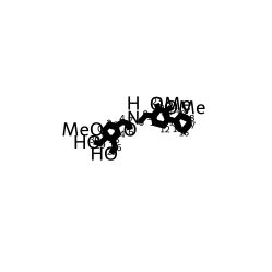 COc1cc(CC(=O)NCCc2ccc(-c3ccccc3)c(OC)c2OC)cc(CO)c1CO